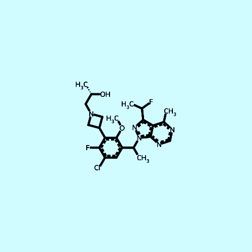 COc1c(C(C)n2nc(C(C)F)c3c(C)ncnc32)cc(Cl)c(F)c1C1CN(C[C@H](C)O)C1